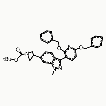 Cn1nc(-c2ccc(OCc3ccccc3)nc2OCc2ccccc2)c2ccc(C3CN(C(=O)OC(C)(C)C)C3)cc21